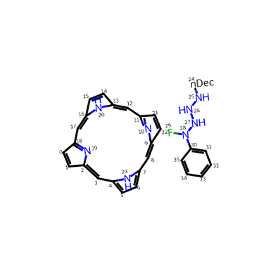 C1=Cc2cc3ccc(cc4nc(cc5ccc(cc1n2)[nH]5)C=C4)[nH]3.CCCCCCCCCCNNNN(F)c1ccccc1